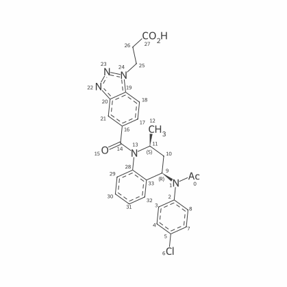 CC(=O)N(c1ccc(Cl)cc1)[C@@H]1C[C@H](C)N(C(=O)c2ccc3c(c2)nnn3CCC(=O)O)c2ccccc21